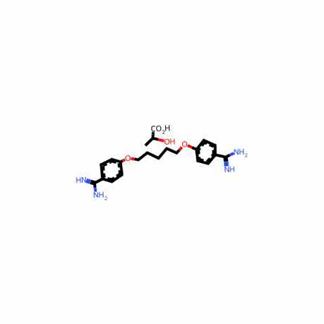 CC(O)C(=O)O.N=C(N)c1ccc(OCCCCCOc2ccc(C(=N)N)cc2)cc1